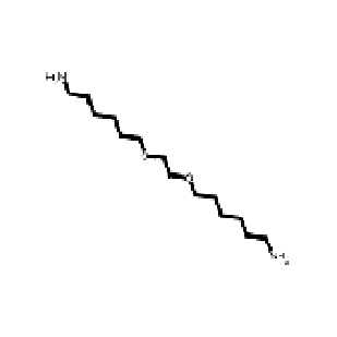 NCCCCCCOCCOCCCCCCN